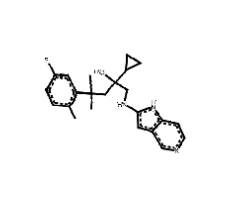 Cc1ccc(F)cc1C(C)(C)CC(O)(CNc1cc2cnccc2[nH]1)C1CC1